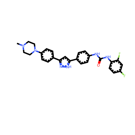 CN1CCN(c2ccc(-c3cc(-c4ccc(NC(=O)Nc5ccc(F)cc5F)cc4)[nH]n3)cc2)CC1